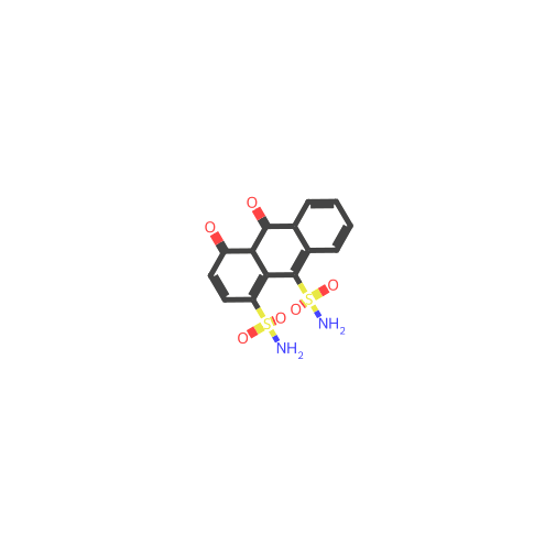 NS(=O)(=O)C1=C2C(S(N)(=O)=O)=C3C=CC=CC3C(=O)C2C(=O)C=C1